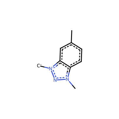 [CH2-][n+]1nn(C)c2ccc(C)cc21